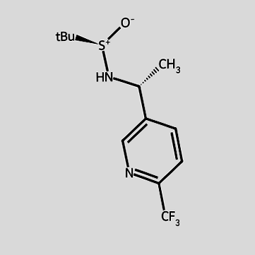 C[C@@H](N[S@+]([O-])C(C)(C)C)c1ccc(C(F)(F)F)nc1